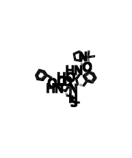 CSCC[C@H](NC(=O)OCc1ccccc1)C(=O)N[C@@H](Cc1ccccc1)[C@H](O)CNC(=O)[C@@H]1CCCN1C(C)(C)C